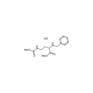 COC(=O)NCCC(NCc1ccccc1)C(=O)OC.Cl